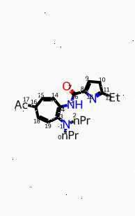 CCCN(CCC)C1=C(NC(=O)C2=CCC(CC)=N2)C=CC(C(C)=O)C=C1